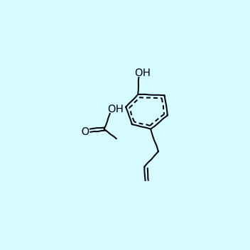 C=CCc1ccc(O)cc1.CC(=O)O